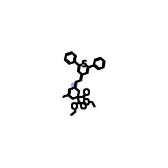 CCOC(=O)C1(C(=O)OCC)CC(C)=C/C(=C/C=C2C=C(c3ccccc3)SC(c3ccccc3)=C2)C1